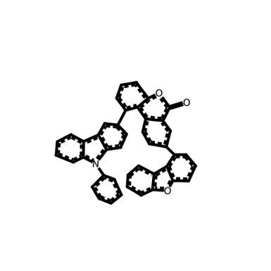 O=c1oc2cccc(-c3ccc4c(c3)c3ccccc3n4-c3ccccc3)c2c2ccc(-c3cccc4oc5ccccc5c34)cc12